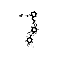 CCCCCC1CCCCC1CCCOc1ccc(OC(=O)C2CCC(C)CC2)cc1